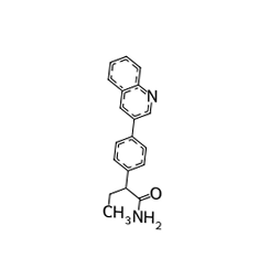 CCC(C(N)=O)c1ccc(-c2cnc3ccccc3c2)cc1